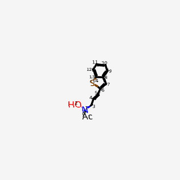 CC(=O)N(O)CC=Cc1cc2ccccc2s1